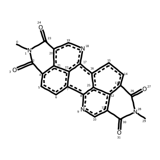 CN1C(=O)c2ccc3c4ncc5c6c(ccc(c7ncc(c2c37)C1=O)c64)C(=O)N(C)C5=O